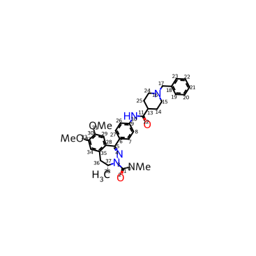 CNC(=O)N1N=C(c2ccc(NC(=O)C3CCN(Cc4ccccc4)CC3)cc2)c2cc(OC)c(OC)cc2C[C@H]1C